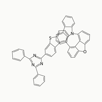 c1ccc(-c2nc(-c3ccccc3)nc(-c3ccc4c(c3)sc3cccc(-c5cccc6oc7cccc(-n8c9ccccc9c9ccccc98)c7c56)c34)n2)cc1